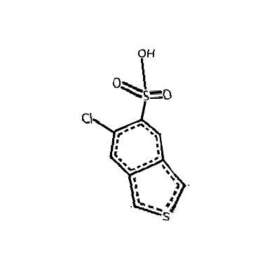 O=S(=O)(O)c1cc2[c]s[c]c2cc1Cl